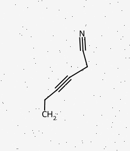 [CH2]CC#CCC#N